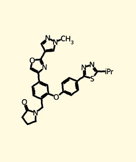 CC(C)c1nnc(-c2ccc(Oc3cc(-c4coc(-c5cnn(C)c5)n4)ccc3CN3CCCC3=O)cc2)s1